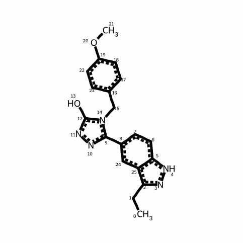 CCc1n[nH]c2ccc(-c3nnc(O)n3Cc3ccc(OC)cc3)cc12